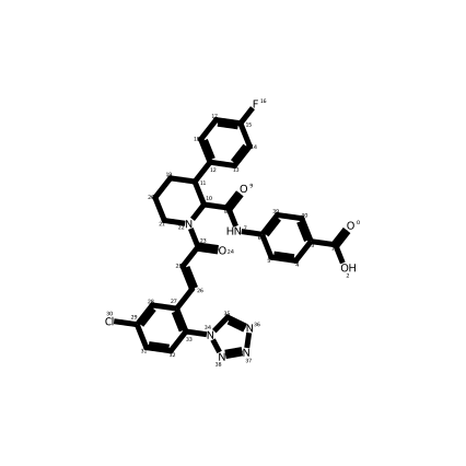 O=C(O)c1ccc(NC(=O)C2C(c3ccc(F)cc3)CCCN2C(=O)C=Cc2cc(Cl)ccc2-n2cnnn2)cc1